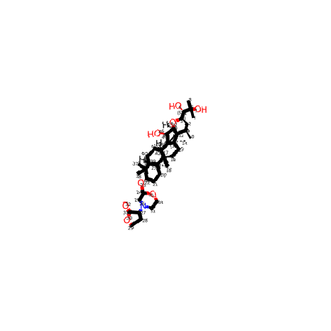 C[C@@H]1C[C@H]([C@H](O)C(C)(C)O)O[C@H]2C1[C@@]1(C)CC[C@@]34C[C@@]35CC[C@H](OC3CN(C6CCOC6=O)CCO3)C(C)(C)[C@@H]5CC[C@H]4[C@]1(C)[C@H]2O